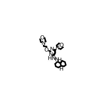 c1c(N/N=C2\CCC[C@H]3CCCC[C@H]23)nc(OCCN2CCOCC2)nc1N1CCOCC1